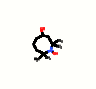 CC1(C)CCCC(O)CC(C)(C)N1O